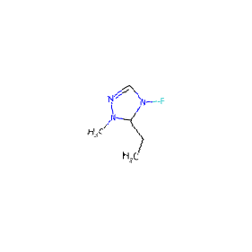 CCC1N(F)C=NN1C